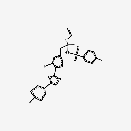 Cc1ccc(-c2nc(-c3ccc(CC(C)(NS(=O)(=O)c4ccc(C)cc4)OC=O)cc3F)no2)cc1